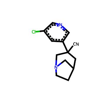 N#CC1(c2cncc(Cl)c2)CC2CCN(C2)C1